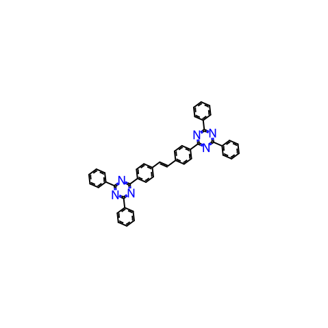 C(=Cc1ccc(-c2nc(-c3ccccc3)nc(-c3ccccc3)n2)cc1)c1ccc(-c2nc(-c3ccccc3)nc(-c3ccccc3)n2)cc1